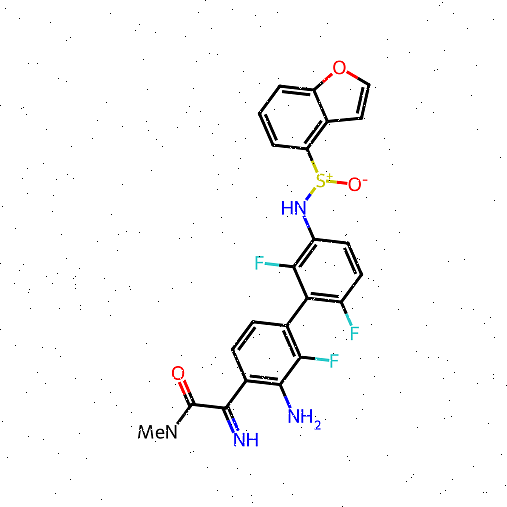 CNC(=O)C(=N)c1ccc(-c2c(F)ccc(N[S+]([O-])c3cccc4occc34)c2F)c(F)c1N